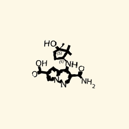 CC1(C)[C@@H](Nc2c(C(N)=O)cnn3cc(C(=O)O)cc23)CC[C@]1(C)O